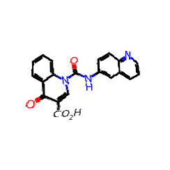 O=C(O)c1cn(C(=O)Nc2ccc3ncccc3c2)c2ccccc2c1=O